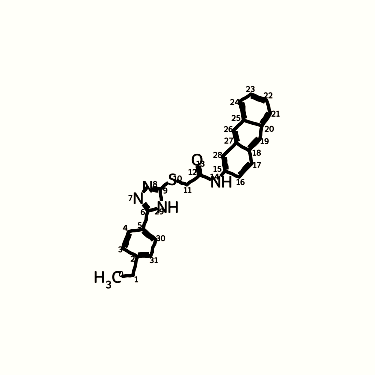 CCc1ccc(-c2nnc(SCC(=O)Nc3ccc4cc5ccccc5cc4c3)[nH]2)cc1